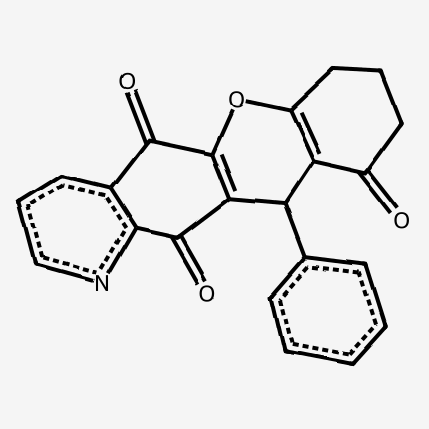 O=C1CCCC2=C1C(c1ccccc1)C1=C(O2)C(=O)c2cccnc2C1=O